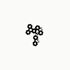 c1ccc2c(c1)sc1cc(N(c3ccc4c5ccccc5c5ccccc5c4c3)c3cccc4sc5ccccc5c34)ccc12